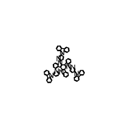 c1ccc2c(c1)c1ccccc1n2-c1ccc(-n2c3ccccc3c3c2c2c4ccccc4n(-c4ccc(-n5c6ccccc6c6ccccc65)cn4)c2c2c4ccccc4n(-c4ccc(-n5c6ccccc6c6ccccc65)cn4)c32)nc1